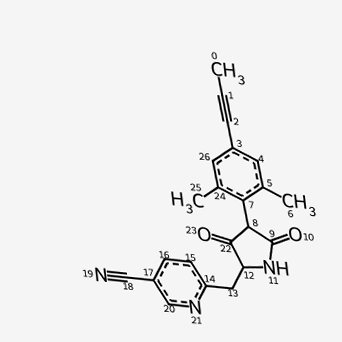 CC#Cc1cc(C)c(C2C(=O)NC(Cc3ccc(C#N)cn3)C2=O)c(C)c1